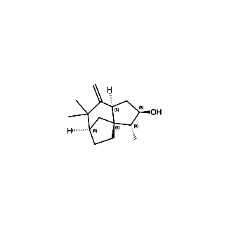 C=C1[C@H]2C[C@@H](O)[C@H](C)[C@@]23CC[C@H](C3)C1(C)C